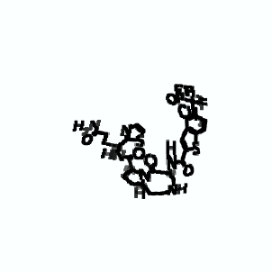 CP(C)(=O)C(F)(F)c1ccc2sc(C(=O)N[C@H]3CNCC[C@H]4CC[C@@H](C(=O)N[C@@H](CCC(N)=O)c5nccs5)N4C3=O)cc2c1